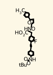 Cc1ccc(-c2ccc(C(=O)N[C@H](Cc3ccc(C#Cc4ccc(NC(=O)OC(C)(C)C)cc4)c(F)c3)C(=O)O)o2)cc1